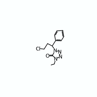 CCn1nnn(C(CCCl)c2ccccc2)c1=O